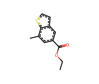 CCOC(=O)c1cc(C)c2sccc2c1